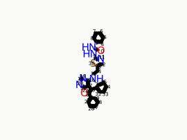 O=C(Nc1ccccc1)Nc1ncc(CCNc2ncnc3oc(-c4ccccc4)c(-c4ccccc4)c23)s1